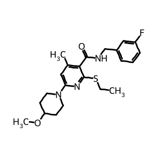 CCSc1nc(N2CCC(OC)CC2)cc(C)c1C(=O)NCc1cccc(F)c1